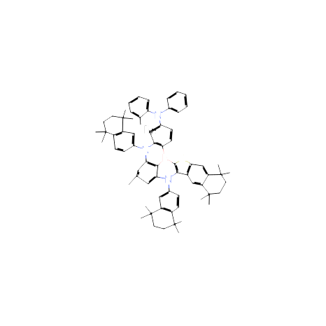 Cc1cc2c3c(c1)N(c1ccc4c(c1)C(C)(C)CCC4(C)C)c1c(sc4cc5c(cc14)C(C)(C)CCC5(C)C)B3c1ccc(N(c3ccccc3)c3ccccc3C(C)(C)C)cc1N2c1ccc2c(c1)C(C)(C)CCC2(C)C